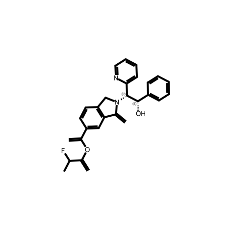 C=C(OC(=C)C(C)F)c1ccc2c(c1)C(=C)N([C@H](c1ccccn1)[C@@H](O)c1ccccc1)C2